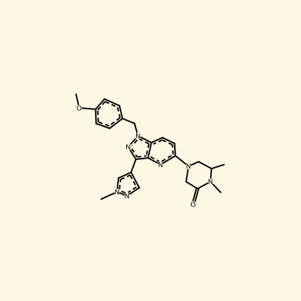 COc1ccc(Cn2nc(-c3cnn(C)c3)c3nc(N4CC(=O)N(C)C(C)C4)ccc32)cc1